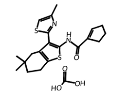 Cc1csc(-c2c(NC(=O)C3=CCCC3)sc3c2CC(C)(C)CC3)n1.O=C(O)O